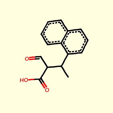 CC(c1cccc2ccccc12)C(C=O)C(=O)O